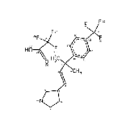 CC(C)(C=CC1CCNC1)c1ccc(C(F)(F)F)cc1.O=C(O)C(F)(F)F